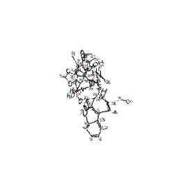 COC[C@@H]1Cc2c(oc3ccccc23)[C@@]2(CS[C@@H]3c4c(OC(C)=O)c(C)c5c(c4[C@H](COC2=O)N2[C@@H]3[C@@H](N(C)C)c3c(cc(C)c(OC)c3O)C[C@@H]2O)OCO5)N1